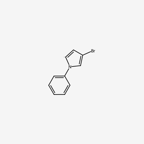 Brc1c[c]n(-c2ccccc2)c1